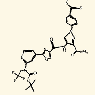 COC(=O)c1ccc(-n2cc(NC(=O)c3coc(-c4ccnc(N(CC(F)(F)F)C(=O)OC(C)(C)C)c4)n3)c(C(N)=O)n2)cc1